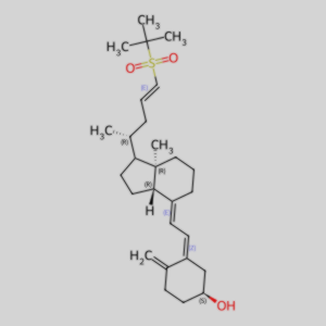 C=C1CC[C@H](O)C/C1=C/C=C1\CCC[C@]2(C)C([C@H](C)C/C=C/S(=O)(=O)C(C)(C)C)CC[C@@H]12